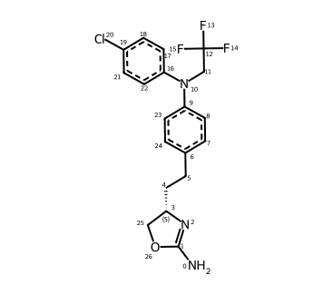 NC1=N[C@@H](CCc2ccc(N(CC(F)(F)F)c3ccc(Cl)cc3)cc2)CO1